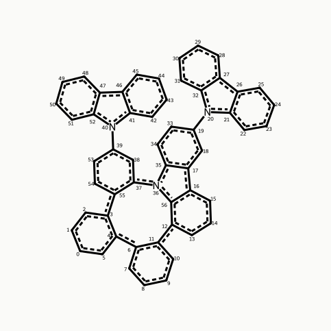 c1ccc2c(c1)c1ccccc1c1cccc3c4cc(-n5c6ccccc6c6ccccc65)ccc4n(c4cc(-n5c6ccccc6c6ccccc65)ccc24)c13